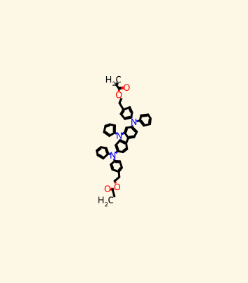 C=CC(=O)OCCc1ccc(N(c2ccccc2)c2ccc3c4ccc(N(c5ccccc5)c5ccc(CCOC(=O)C=C)cc5)cc4n(-c4ccccc4)c3c2)cc1